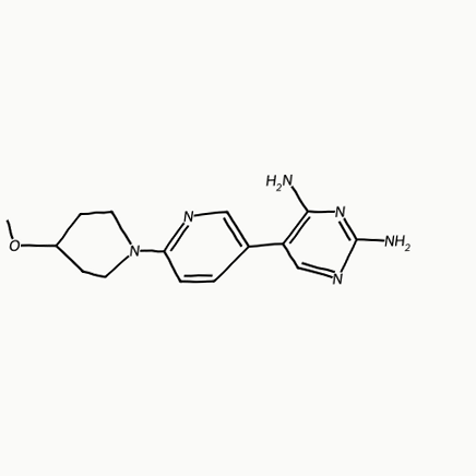 COC1CCN(c2ccc(-c3cnc(N)nc3N)cn2)CC1